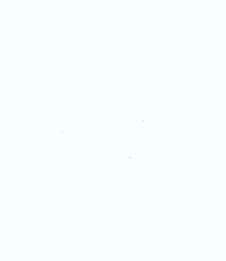 Nc1c(F)cc(OC(F)(F)F)cc1F